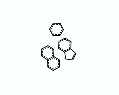 [CH]1C=Cc2ccccc21.[c]1cccc2ccccc12.[c]1ccccc1